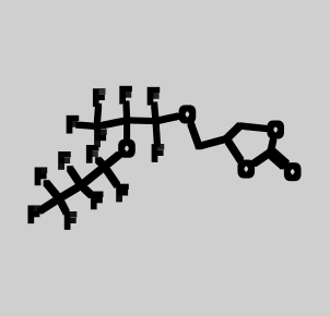 O=C1OCC(COC(F)(F)C(F)(OC(F)(F)C(F)(F)C(F)(F)F)C(F)(F)F)O1